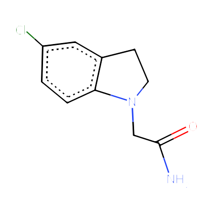 NC(=O)CN1CCc2cc(Cl)ccc21